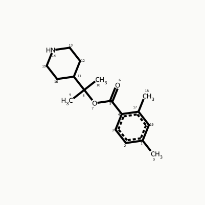 Cc1ccc(C(=O)OC(C)(C)C2CCNCC2)c(C)c1